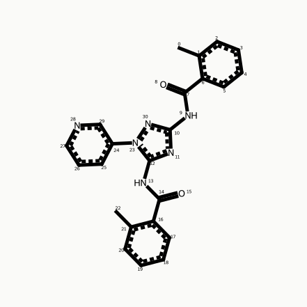 Cc1ccccc1C(=O)Nc1nc(NC(=O)c2ccccc2C)n(-c2cccnc2)n1